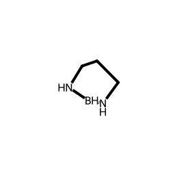 B1NCCCN1